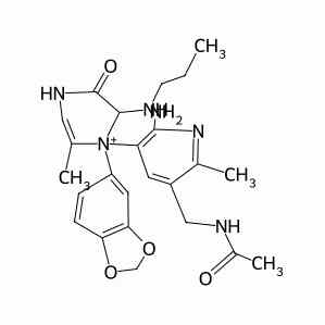 CCCNC1C(=O)NC=C(C)[N+]1(c1ccc2c(c1)OCO2)c1cc(CNC(C)=O)c(C)nc1N